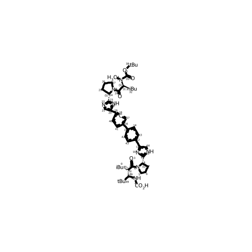 CC[C@@H](C)[C@H](C(=O)N1CCC[C@H]1c1nc(-c2ccc(-c3ccc(-c4cnc([C@@H]5CCCN5C(=O)[C@H]([C@H](C)CC)N(C)C(=O)OC(C)(C)C)[nH]4)cc3)cc2)c[nH]1)C(NC(=O)O)C(C)(C)C